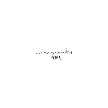 CC(=O)O.CCCCCCCCCCCCCCCCCC(=O)O.N